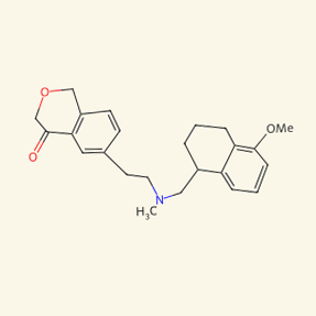 COc1cccc2c1CCCC2CN(C)CCc1ccc2c(c1)C(=O)COC2